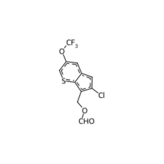 O=COCc1c(Cl)cc2cc(OC(F)(F)F)csc1-2